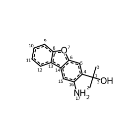 CC(C)(O)c1cc2oc3ccccc3c2cc1N